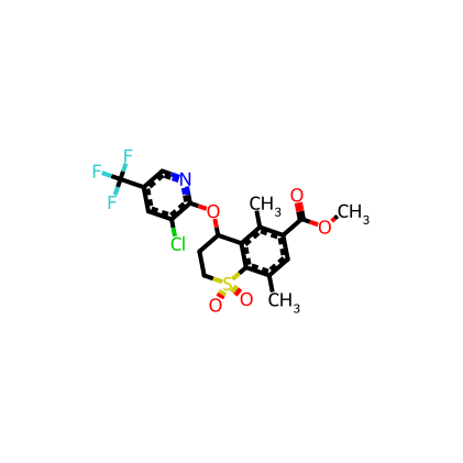 COC(=O)c1cc(C)c2c(c1C)C(Oc1ncc(C(F)(F)F)cc1Cl)CCS2(=O)=O